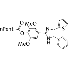 CCCCCC(=O)Oc1c(OC)cc(-c2nc(-c3cccs3)c(-c3ccccc3)[nH]2)cc1OC